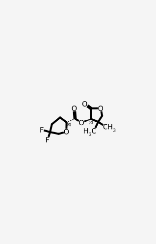 CC1(C)COC(=O)[C@@H]1OC(=O)[C@H]1CCC(F)(F)CO1